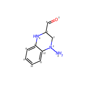 NN1CC(C=O)Nc2ccccc21